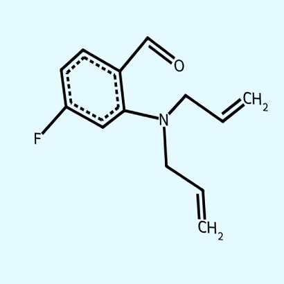 C=CCN(CC=C)c1cc(F)ccc1C=O